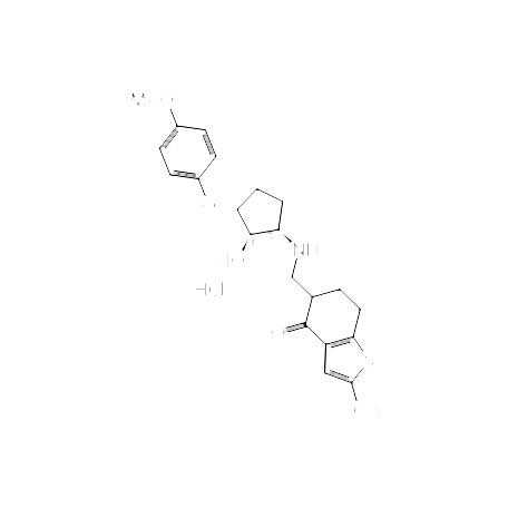 COc1ccc(O[C@@H]2CC[C@@H](NCC3CCc4sc(C)cc4C3=O)[C@H]2O)cc1.Cl